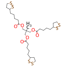 CC(COC(=O)CCCCC1CCSS1)(COC(=O)CCCCC1CCSS1)COC(=O)CCCCC1CCSS1